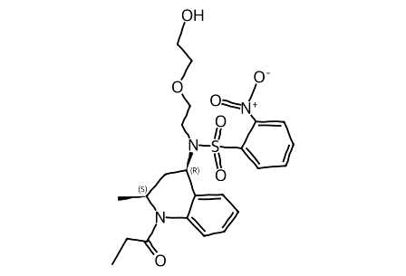 CCC(=O)N1c2ccccc2[C@H](N(CCOCCO)S(=O)(=O)c2ccccc2[N+](=O)[O-])C[C@@H]1C